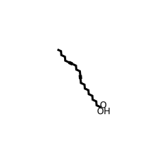 CCCCCC#CCCCC#CCCCCCCCCCC(=O)O